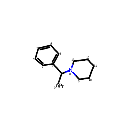 [CH2]CCC(c1ccccc1)N1CCCCC1